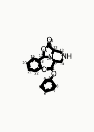 O=C(Oc1ccccc1)C1CNCC2C(=O)OC(c3ccccc3)N12